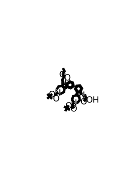 CC(C)(C)OC(=O)N1CCc2c(n(CC(=O)O)c3ccccc23)CC1.CCOC(=O)Cn1c2c(c3ccccc31)CCN(C(=O)OC(C)(C)C)CC2